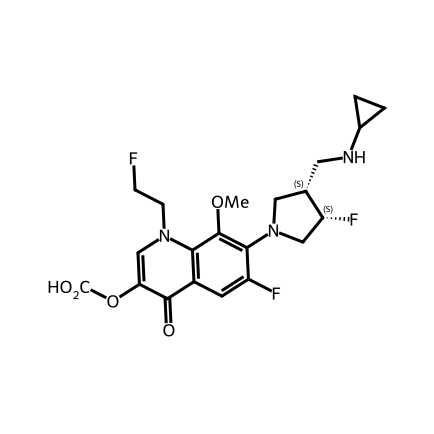 COc1c(N2C[C@H](CNC3CC3)[C@H](F)C2)c(F)cc2c(=O)c(OC(=O)O)cn(CCF)c12